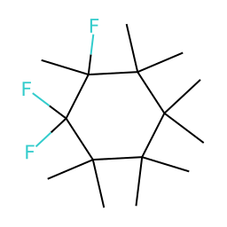 CC1(C)C(C)(C)C(C)(C)C(F)(F)C(C)(F)C1(C)C